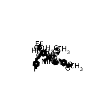 COC(=O)c1ccc(Cn2ccc(Nc3c(C#N)c(-c4ccc(NS(=O)(=O)C(F)F)c(OCCc5ccc(F)cc5)c4)nn3COCC[Si](C)(C)C)n2)cc1